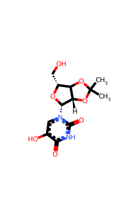 CC1(C)OC2[C@@H](CO)O[C@@H](n3cc(O)c(=O)[nH]c3=O)[C@H]2O1